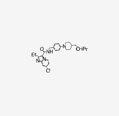 CCc1nc2cc(Cl)ccn2c1C(=O)NCc1ccc(N2CCC(COC(C)C)CC2)cc1